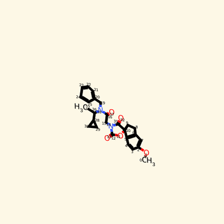 COc1ccc2c(c1)CCC21OC(=O)N(CC(=O)N(Cc2ccccc2)C(C)C2CC2)C1=O